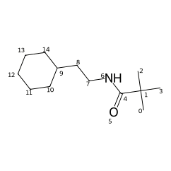 CC(C)(C)C(=O)NCCC1CCCCC1